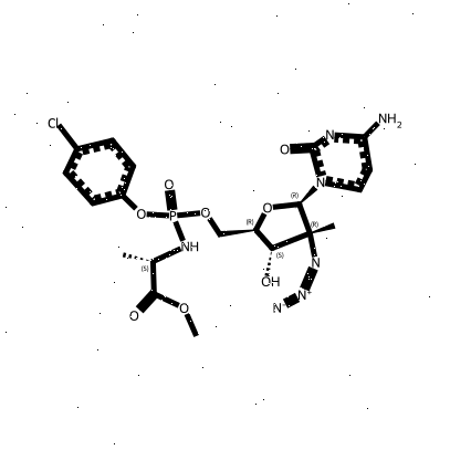 COC(=O)[C@H](C)NP(=O)(OC[C@H]1O[C@@H](n2ccc(N)nc2=O)[C@](C)(N=[N+]=[N-])[C@@H]1O)Oc1ccc(Cl)cc1